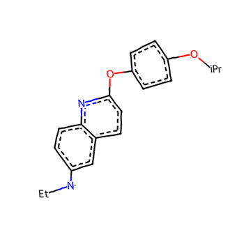 CC[N]c1ccc2nc(Oc3ccc(OC(C)C)cc3)ccc2c1